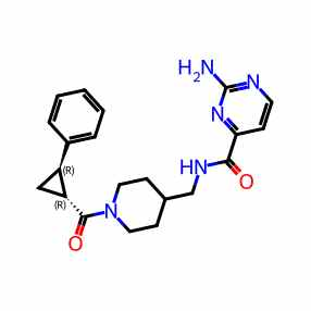 Nc1nccc(C(=O)NCC2CCN(C(=O)[C@@H]3C[C@H]3c3ccccc3)CC2)n1